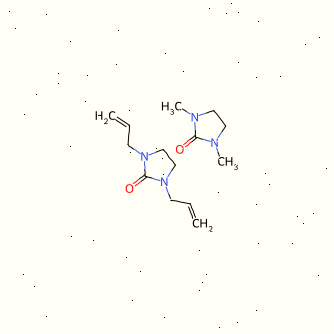 C=CCN1CCN(CC=C)C1=O.CN1CCN(C)C1=O